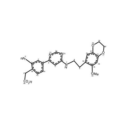 CCCc1cc(-c2cc(NCCc3cc4c(cc3OC)OCCO4)ncn2)ccc1CC(=O)O